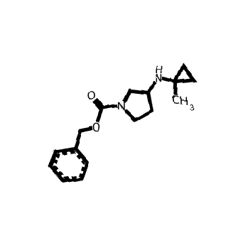 CC1(NC2CCN(C(=O)OCc3ccccc3)C2)CC1